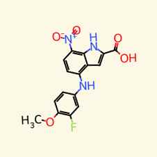 COc1ccc(Nc2ccc([N+](=O)[O-])c3[nH]c(C(=O)O)cc23)cc1F